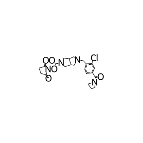 O=C(ON1C(=O)CCC1=O)N1CC2CN(Cc3ccc(C(=O)N4CCC4)cc3Cl)CC2C1